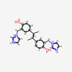 C/C(=C(/C)c1ccc(O)c(Cn2ccnc2)c1)c1ccc(O)c(Cn2ccnc2)c1